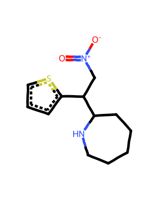 O=[N+]([O-])CC(c1cccs1)C1CCCCCN1